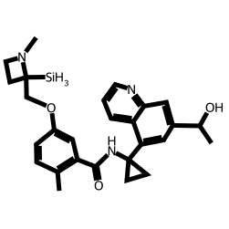 Cc1ccc(OCC2([SiH3])CCN2C)cc1C(=O)NC1(c2cc(C(C)O)cc3ncccc23)CC1